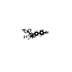 CCOC(=O)CCN(c1ccc(-c2ccc(C#N)cc2)cc1)S(N)(=O)=O